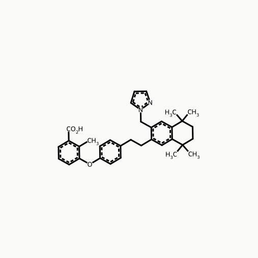 Cc1c(Oc2ccc(CCc3cc4c(cc3Cn3cccn3)C(C)(C)CCC4(C)C)cc2)cccc1C(=O)O